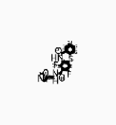 O=C1Nc2c(cc(F)c(C(=O)NCc3cnco3)c2F)Sc2ccccc21